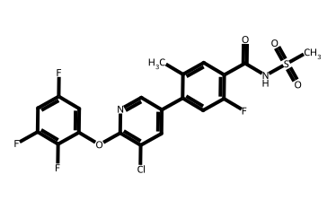 Cc1cc(C(=O)NS(C)(=O)=O)c(F)cc1-c1cnc(Oc2cc(F)cc(F)c2F)c(Cl)c1